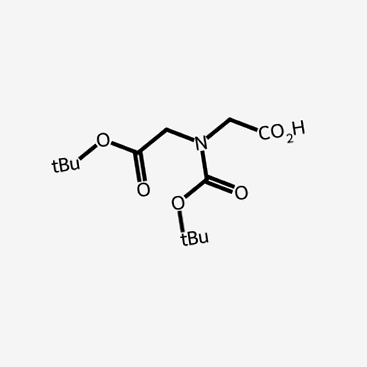 CC(C)(C)OC(=O)CN(CC(=O)O)C(=O)OC(C)(C)C